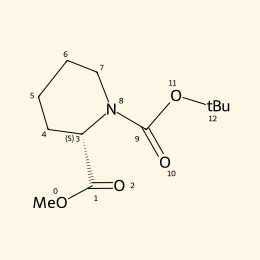 COC(=O)[C@@H]1CCCCN1C(=O)OC(C)(C)C